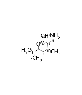 CC(C)CCC(C)C(CN)C(=O)O